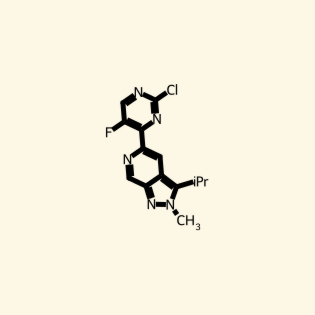 CC(C)c1c2cc(-c3nc(Cl)ncc3F)ncc2nn1C